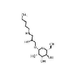 CCCCCNCC(O)CO[C@@H]1O[C@H](CO)[C@@H](O)[C@H](O)[C@@H]1O